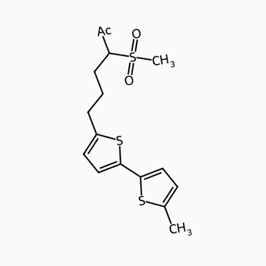 CC(=O)C(CCCc1ccc(-c2ccc(C)s2)s1)S(C)(=O)=O